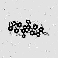 CCc1ccccc1-c1cccc2c1oc1c(N(c3ccc(C)c(C)c3)c3cc(C4CCCC4)c4ccc5c(N(c6ccc(C)c(C)c6)c6cccc7c6oc6c(-c8ccccc8CC)cccc67)cc(C6CCCC6)c6ccc3c4c65)cccc12